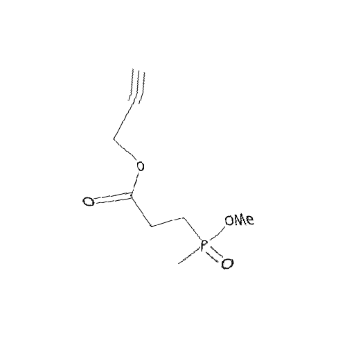 C#CCOC(=O)CCP(C)(=O)OC